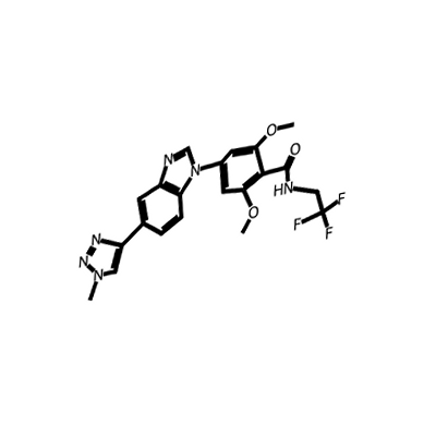 COc1cc(-n2cnc3cc(-c4cn(C)nn4)ccc32)cc(OC)c1C(=O)NCC(F)(F)F